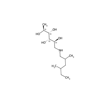 CCC(C)CC(C)CNC[C@H](O)[C@H](O)[C@@H](O)[C@H](C)O